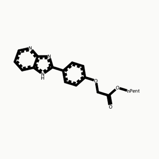 CCCCCOC(=O)COc1ccc(-c2nc3ncccc3[nH]2)cc1